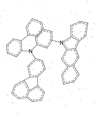 c1ccc(-c2ccccc2N(c2cccc(-n3c4ccccc4c4cc5ccccc5cc43)c2)c2ccc3c(c2)-c2cccc4cccc-3c24)cc1